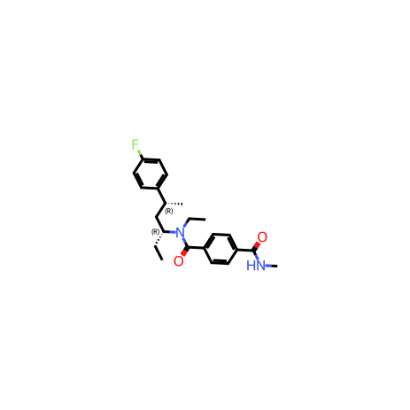 CC[C@H](C[C@@H](C)c1ccc(F)cc1)N(CC)C(=O)c1ccc(C(=O)NC)cc1